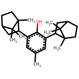 Cc1cc(C2CC3CCC2(C)C3(C)C)c(O)c(C2CC3CCC2(C)C3(C)C)c1